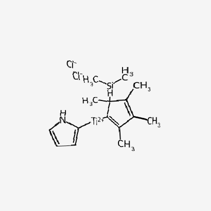 CC1=C(C)C(C)([SiH](C)C)[C]([Ti+2][c]2ccc[nH]2)=C1C.[Cl-].[Cl-]